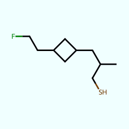 CC(CS)CC1CC(CCF)C1